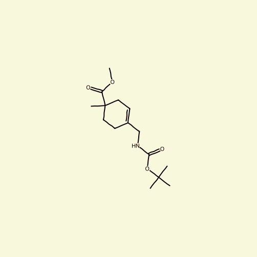 COC(=O)C1(C)CC=C(CNC(=O)OC(C)(C)C)CC1